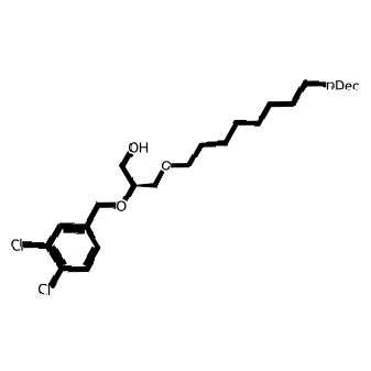 CCCCCCCCCCCCCCCCCCOC[C@H](CO)OCc1ccc(Cl)c(Cl)c1